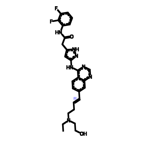 CCN(CCO)CC/C=C/c1ccc2c(Nc3cc(CC(=O)Nc4cccc(F)c4F)[nH]n3)ncnc2c1